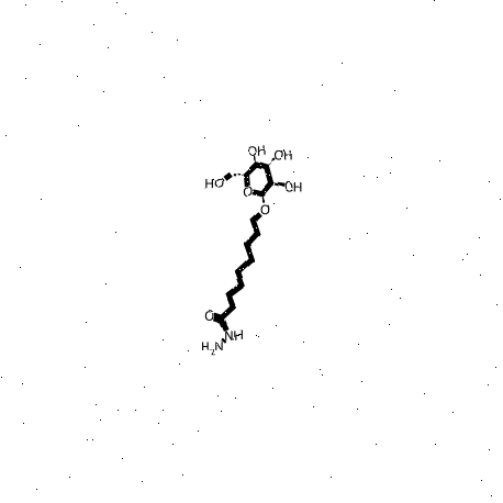 NNC(=O)CCCCCCCCO[C@@H]1O[C@H](CO)[C@H](O)[C@H](O)[C@H]1O